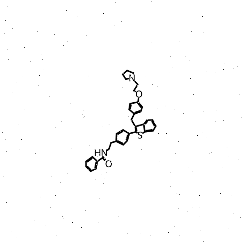 O=C(NCCc1ccc(-c2sc3ccccc3c2Cc2ccc(OCCN3CCCC3)cc2)cc1)c1ccccc1